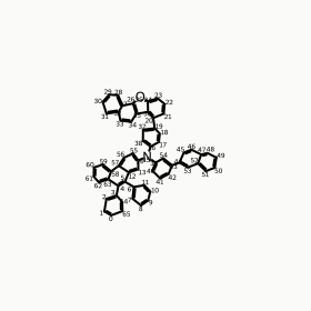 c1ccc(-c2c(-c3ccccc3)c3cc(N(c4ccc(-c5cccc6oc7c8ccccc8ccc7c56)cc4)c4cccc(-c5ccc6ccccc6c5)c4)ccc3c3ccccc23)cc1